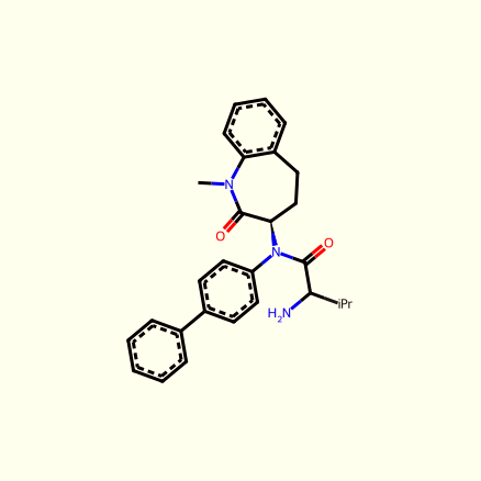 CC(C)C(N)C(=O)N(c1ccc(-c2ccccc2)cc1)[C@@H]1CCc2ccccc2N(C)C1=O